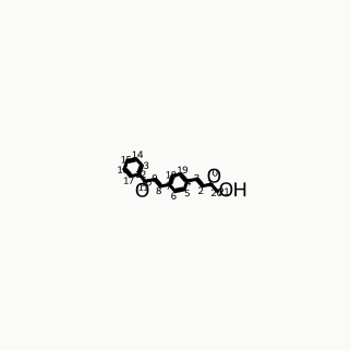 O=C(/C=C/c1ccc(/C=C/C(=O)c2ccccc2)cc1)CO